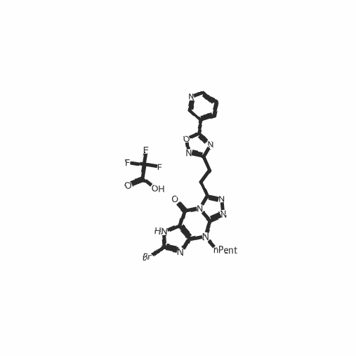 CCCCCn1c2nc(Br)[nH]c2c(=O)n2c(CCc3noc(-c4cccnc4)n3)nnc12.O=C(O)C(F)(F)F